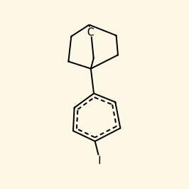 Ic1ccc(C23CCC(CC2)CC3)cc1